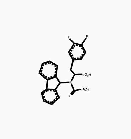 COC(=O)N(C(Cc1ccc(F)c(F)c1)C(=O)O)C1c2ccccc2-c2ccccc21